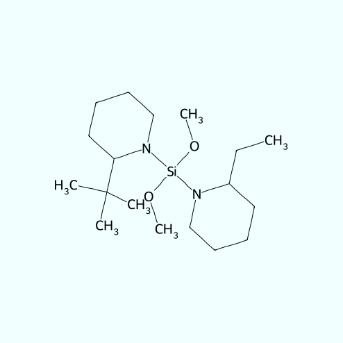 CCC1CCCCN1[Si](OC)(OC)N1CCCCC1C(C)(C)C